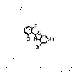 [O-][n+]1cc(Br)c2nc(-c3c(F)cccc3Cl)sc2c1